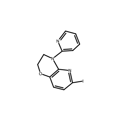 Ic1ccc2c(n1)N(c1ccccn1)CCO2